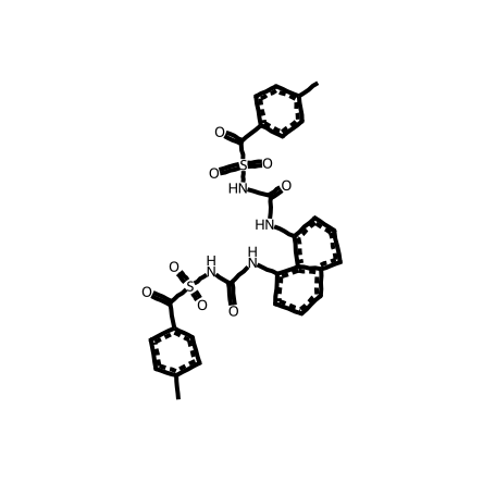 Cc1ccc(C(=O)S(=O)(=O)NC(=O)Nc2cccc3cccc(NC(=O)NS(=O)(=O)C(=O)c4ccc(C)cc4)c23)cc1